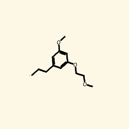 [CH2]CCc1cc(OC)cc(OCCOC)c1